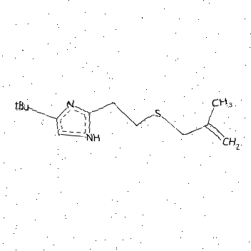 C=C(C)CSCCc1nc(C(C)(C)C)c[nH]1